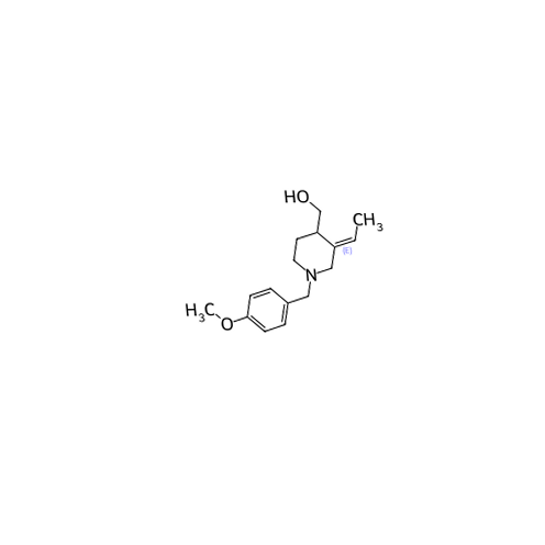 C/C=C1/CN(Cc2ccc(OC)cc2)CCC1CO